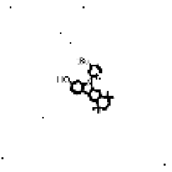 CC(C)(C)c1ccnc(-n2c3cc(O)ccc3c3cc4c(cc32)C(C)(C)CCC4(C)C)c1